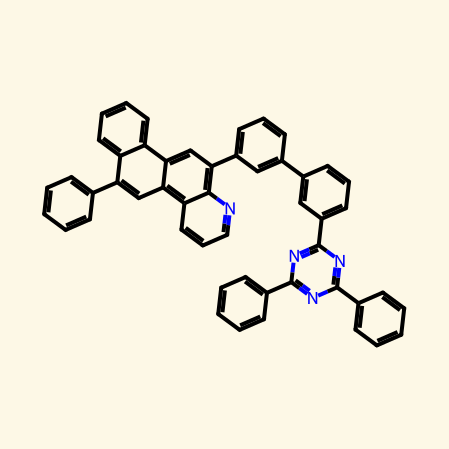 c1ccc(-c2nc(-c3ccccc3)nc(-c3cccc(-c4cccc(-c5cc6c7ccccc7c(-c7ccccc7)cc6c6cccnc56)c4)c3)n2)cc1